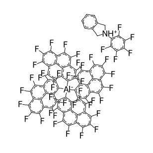 Fc1c(F)c(F)c([NH+]2Cc3ccccc3C2)c(F)c1F.Fc1c(F)c2c(F)c(F)c3c(F)c(F)[c]([Al-]([c]4c(F)c(F)c5c(F)c(F)c6c(F)c(F)c(F)c7c(F)c(F)c4c5c67)([c]4c(F)c(F)c5c(F)c(F)c6c(F)c(F)c(F)c7c(F)c(F)c4c5c67)[c]4c(F)c(F)c5c(F)c(F)c6c(F)c(F)c(F)c7c(F)c(F)c4c5c67)c4c(F)c(F)c(c1F)c2c34